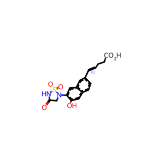 O=C(O)CC/C=C/c1ccc2cc(O)c(N3CC(=O)NS3(=O)=O)cc2c1